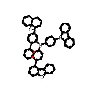 CC12C=CC=CC1C=CC=C2c1ccc(-c2ccccc2)c(N(c2ccc(-c3cccc4oc5ccccc5c34)cc2)c2ccc(-n3c4ccccc4c4ccccc43)cc2)c1